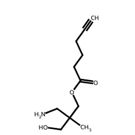 C#CCCCC(=O)OCC(C)(CN)CO